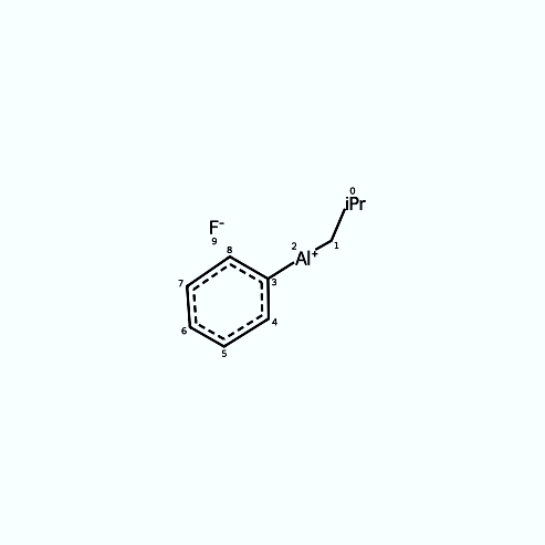 CC(C)[CH2][Al+][c]1ccccc1.[F-]